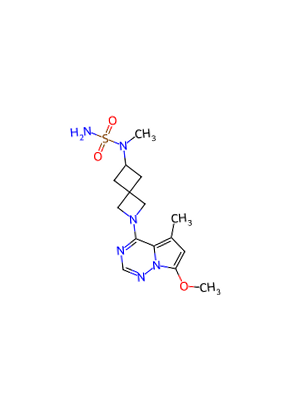 COc1cc(C)c2c(N3CC4(CC(N(C)S(N)(=O)=O)C4)C3)ncnn12